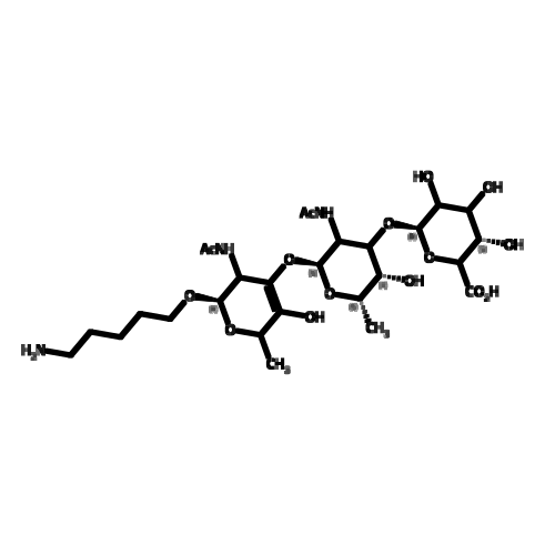 CC(=O)NC1C(O[C@@H]2O[C@@H](C)[C@@H](O)C(O[C@@H]3OC(C(=O)O)[C@@H](O)C(O)C3O)C2NC(C)=O)=C(O)C(C)O[C@H]1OCCCCCN